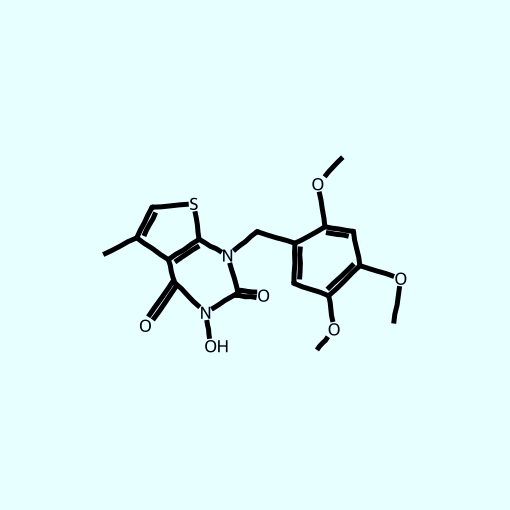 COc1cc(OC)c(OC)cc1Cn1c(=O)n(O)c(=O)c2c(C)csc21